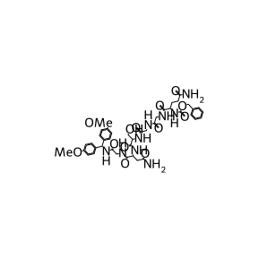 COc1ccc(C(NC(=O)CNC(=O)C(CC(N)=O)NC(=O)C(CO)NC(=O)CNC(=O)CNC(=O)C(CCC(N)=O)NC(=O)OCc2ccccc2)c2ccc(OC)cc2)cc1